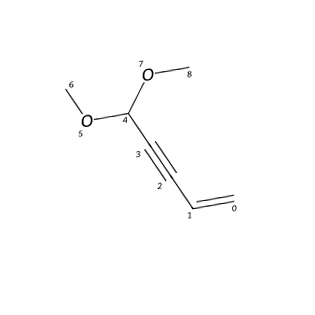 C=CC#CC(OC)OC